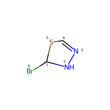 Br[C]1NN=CS1